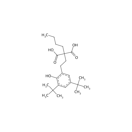 CCCCC(CCc1cc(C(C)(C)C)cc(C(C)(C)C)c1O)(C(=O)O)C(=O)O